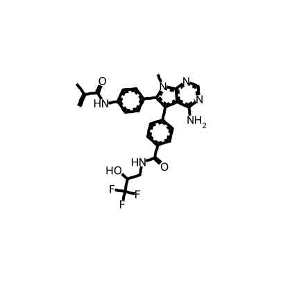 C=C(C)C(=O)Nc1ccc(-c2c(-c3ccc(C(=O)NCC(O)C(F)(F)F)cc3)c3c(N)ncnc3n2C)cc1